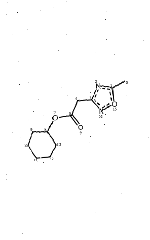 Cc1nc(CC(=O)OC2CCCCC2)no1